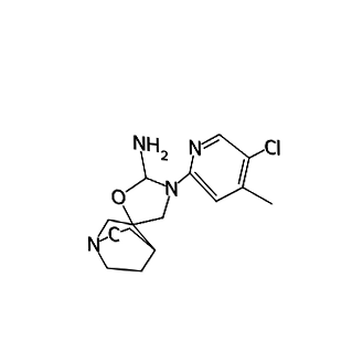 Cc1cc(N2CC3(CN4CCC3CC4)OC2N)ncc1Cl